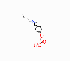 CCCCN=C=C1C=CC(OCC(=O)O)=CC1